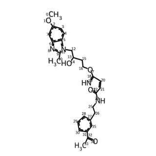 COc1ccc2c(c1)nc(C)n2CC(O)CCOC(=N)/C=C\C(=O)NCCc1cccc(C(C)=O)c1